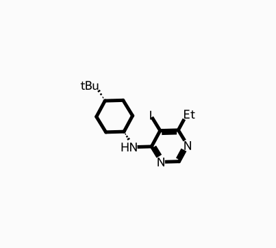 CCc1ncnc(N[C@H]2CC[C@@H](C(C)(C)C)CC2)c1I